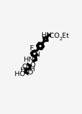 CCOC(=O)NC1CC(c2ccc(-c3nc4cc(O[C@@H]5CO[C@H]6[C@@H]5OC[C@H]6O)[nH]c4cc3F)cc2)C1